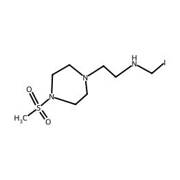 CS(=O)(=O)N1CCN(CCNCI)CC1